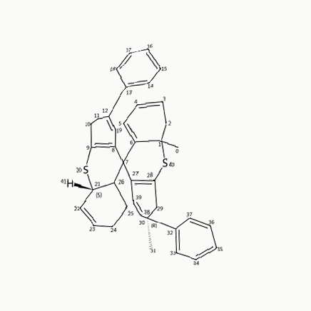 CC12CC=CC=C1C1(C3=C(CCC(c4ccccc4)=C3)S[C@H]3C=CCCC31)C1=C(C[C@@](C)(c3ccccc3)C=C1)S2